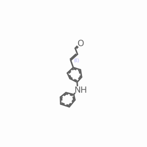 O=C/C=C/c1ccc(Nc2ccccc2)cc1